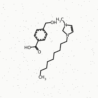 CCCCCCCCCN1C=CN(C)C1.O=C(O)c1ccc(CO)cc1